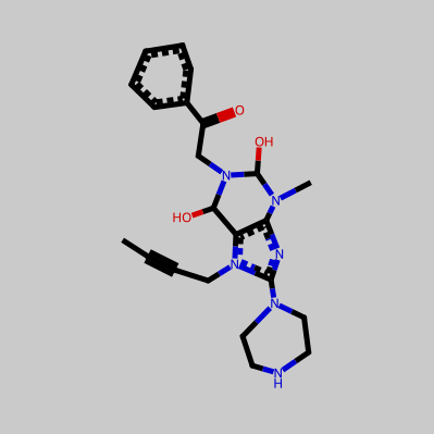 CC#CCn1c(N2CCNCC2)nc2c1C(O)N(CC(=O)c1ccccc1)C(O)N2C